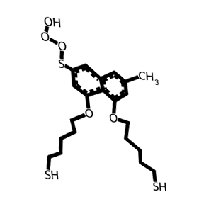 Cc1cc(OCCCCCS)c2c(OCCCCCS)cc(SOOO)cc2c1